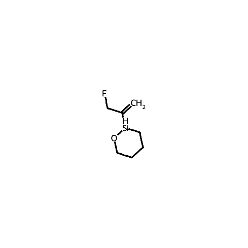 C=C(CF)[SiH]1CCCCO1